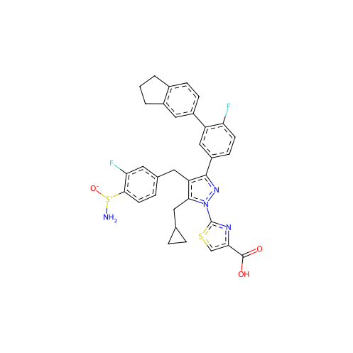 N[S+]([O-])c1ccc(Cc2c(-c3ccc(F)c(-c4ccc5c(c4)CCC5)c3)nn(-c3nc(C(=O)O)cs3)c2CC2CC2)cc1F